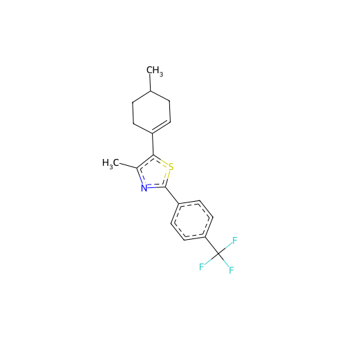 Cc1nc(-c2ccc(C(F)(F)F)cc2)sc1C1=CCC(C)CC1